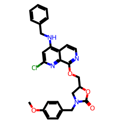 COc1ccc(CN2CC(COc3nccc4c(NCc5ccccc5)cc(Cl)nc34)OC2=O)cc1